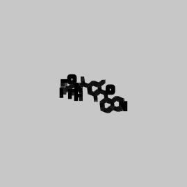 Cc1cc(C(C)NC(=O)C(F)(F)F)cc(C)c1C(=O)c1cccc2cnccc12